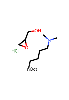 CCCCCCCCCCCCN(C)C.Cl.OCC1CO1